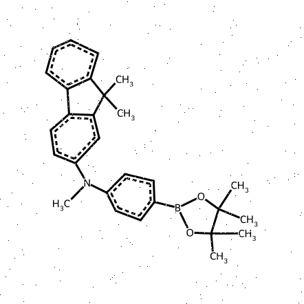 CN(c1ccc(B2OC(C)(C)C(C)(C)O2)cc1)c1ccc2c(c1)C(C)(C)c1ccccc1-2